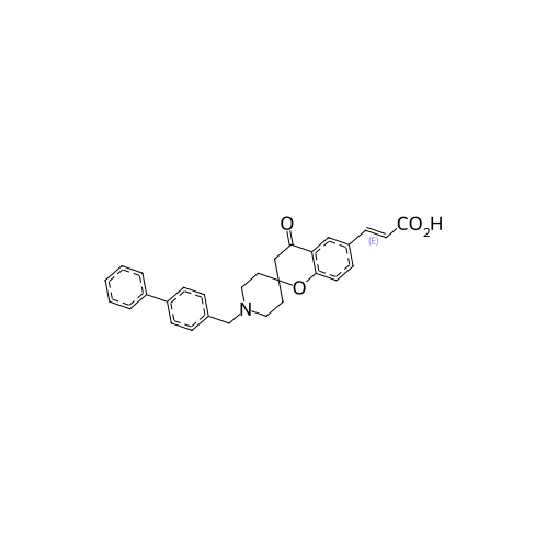 O=C(O)/C=C/c1ccc2c(c1)C(=O)CC1(CCN(Cc3ccc(-c4ccccc4)cc3)CC1)O2